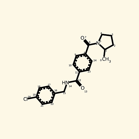 CC1CCCN1C(=O)c1ccc(C(=O)NCc2ccc(Cl)cc2)cc1